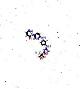 CC1(c2nc(N[C@H]3CC[C@H](Nc4ccc(-n5ncccc5=O)cn4)C3)no2)COC1